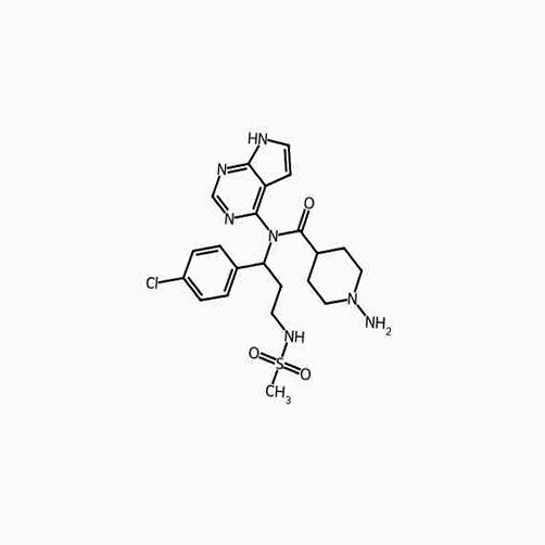 CS(=O)(=O)NCCC(c1ccc(Cl)cc1)N(C(=O)C1CCN(N)CC1)c1ncnc2[nH]ccc12